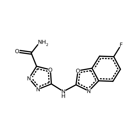 NC(=O)c1nnc(Nc2nc3ccc(F)cc3o2)o1